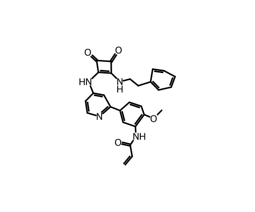 C=CC(=O)Nc1cc(-c2cc(Nc3c(NCCc4ccccc4)c(=O)c3=O)ccn2)ccc1OC